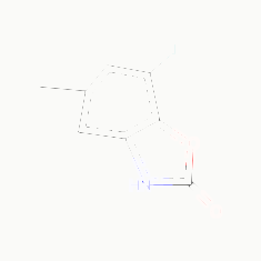 Cc1cc(F)c2oc(=O)[nH]c2c1